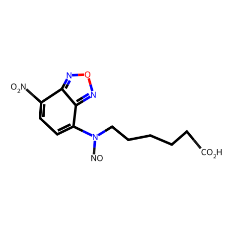 O=NN(CCCCCC(=O)O)c1ccc([N+](=O)[O-])c2nonc12